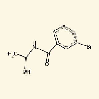 [CH2]C(O)NC(=O)c1cccc(Br)c1